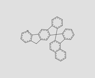 c1cnc2c(c1)Cc1cc3c(cc1-2)-c1ccccc1C31c2ccccc2-c2c1ccc1ccccc21